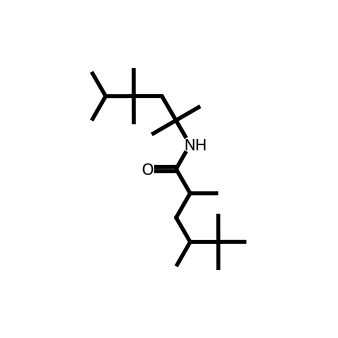 CC(CC(C)C(C)(C)C)C(=O)NC(C)(C)CC(C)(C)C(C)C